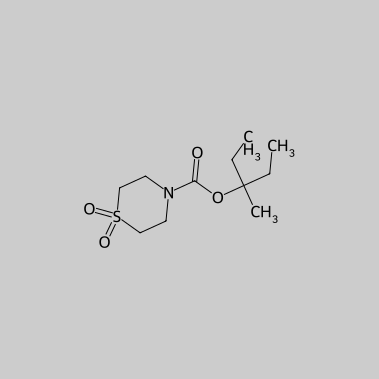 CCC(C)(CC)OC(=O)N1CCS(=O)(=O)CC1